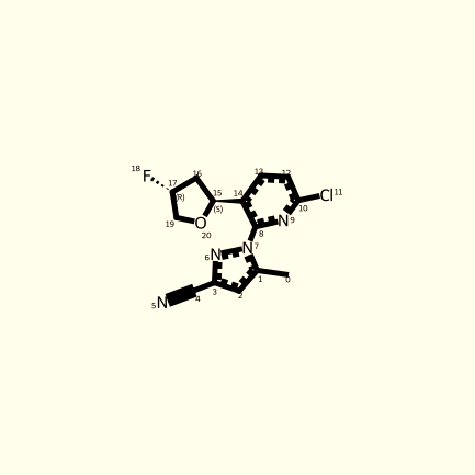 Cc1cc(C#N)nn1-c1nc(Cl)ccc1[C@@H]1C[C@@H](F)CO1